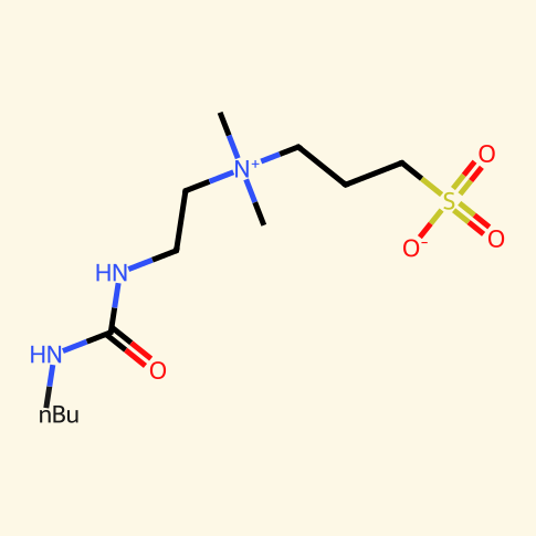 CCCCNC(=O)NCC[N+](C)(C)CCCS(=O)(=O)[O-]